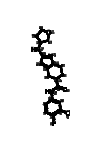 O=C(Nc1ccc(F)c(Cl)c1)N1CCn2nc(NC3CCOC3)cc2C1